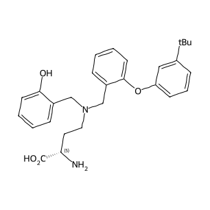 CC(C)(C)c1cccc(Oc2ccccc2CN(CC[C@H](N)C(=O)O)Cc2ccccc2O)c1